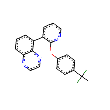 CC(F)(F)c1ccc(Oc2ncccc2-c2cccc3nccnc23)cc1